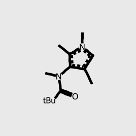 Cc1cn(C)c(C)c1N(C)C(=O)C(C)(C)C